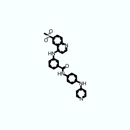 CS(=O)(=O)c1ccc2nccc(Nc3cccc(C(=O)Nc4ccc(Nc5ccncc5)cc4)c3)c2c1